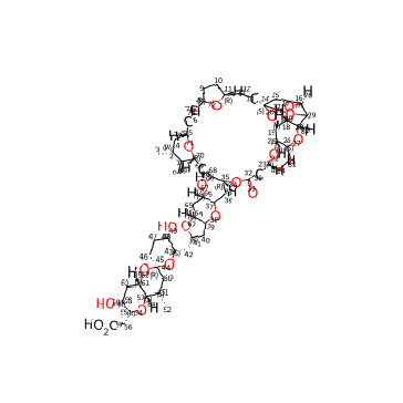 C=C1[C@H](C)C[C@@H]2CC[C@H]3CC[C@H](CC[C@@]45C[C@@H]6O[C@H]7[C@@H](O4)[C@H]4O[C@H](CC[C@@H]4O[C@H]7C6O5)CC(=O)O[C@@H]4CC5OC6C[C@H](C[C@@H]7O[C@@]8(CC[C@@H]7O)C[C@H](C)[C@@H]7O[C@H](CC(=O)O)[C@H](O)C[C@@H]7O8)O[C@@H]6C[C@@H]5O[C@H]4C[C@H]1O2)O3